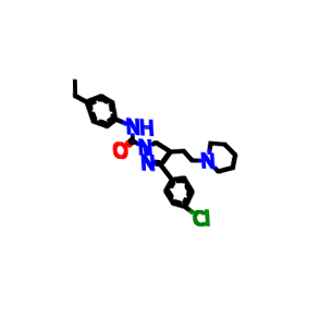 CCc1ccc(NC(=O)N2CC(CCN3CCCCC3)C(c3ccc(Cl)cc3)=N2)cc1